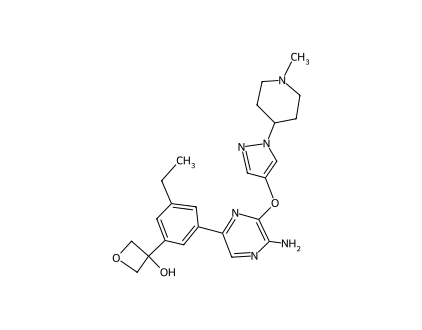 CCc1cc(-c2cnc(N)c(Oc3cnn(C4CCN(C)CC4)c3)n2)cc(C2(O)COC2)c1